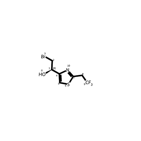 O[C@@H](CBr)c1csc(CC(F)(F)F)n1